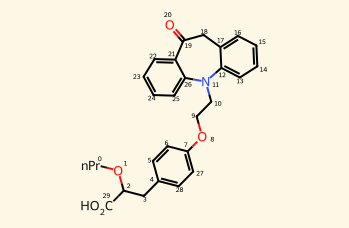 CCCOC(Cc1ccc(OCCN2c3ccccc3CC(=O)c3ccccc32)cc1)C(=O)O